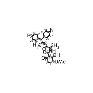 COc1cc[n+]([O-])c(C(=O)N[C@@H](C)C(=O)O[C@@H](C)C(c2ccc(F)cc2)c2ccc(F)cc2)c1O